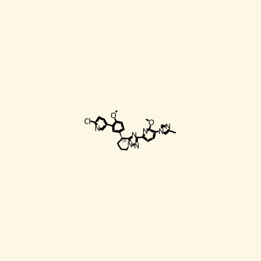 COc1ccc([C@@H]2CCCn3nc(-c4ccc(-n5cnc(C)c5)c(OC)n4)nc32)cc1-c1ccc(Cl)nc1